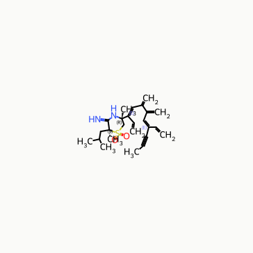 C=C/C(C#CC)=C\C(=C)C(=C)/C=C(\C=C)[C@]1(C)CS(=O)(=O)[C@@](C)(CC(C)C)C(=N)N1